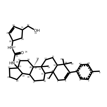 Cc1ccc(C2=CCC3(C)C(CCC4(C)C3CCC3C5CCCC5(NC(=O)NC5C=CC(CO)C5)CC[C@]34C)C2(C)C)cc1